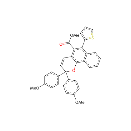 COC(=O)c1c2c(c3ccccc3c1-c1cccs1)OC(c1ccc(OC)cc1)(c1ccc(OC)cc1)C=C2